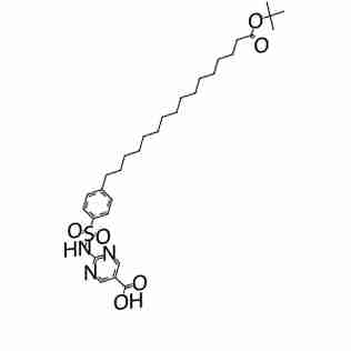 CC(C)(C)OC(=O)CCCCCCCCCCCCCCCc1ccc(S(=O)(=O)Nc2ncc(C(=O)O)cn2)cc1